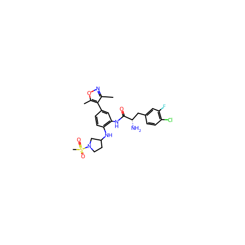 Cc1noc(C)c1-c1ccc(NC2CCN(S(C)(=O)=O)C2)c(NC(=O)[C@@H](N)Cc2ccc(Cl)c(F)c2)c1